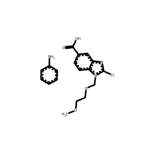 COCCOCn1c(Cl)nc2cc(C(=O)O)ccc21.Nc1ccccc1